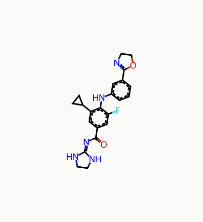 O=C(N=C1NCCN1)c1cc(F)c(Nc2cccc(C3=NCCO3)c2)c(C2CC2)c1